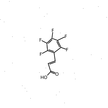 O=C(O)C=Cc1c(F)c(F)c(F)c(F)c1F